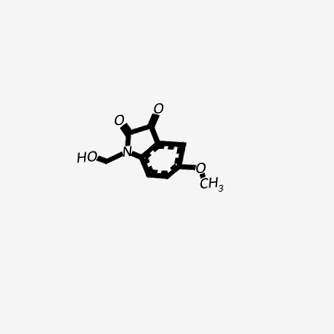 COc1ccc2c(c1)C(=O)C(=O)N2CO